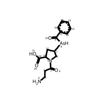 NCCC(=O)N1CC([AsH]C(=O)c2ccccc2)CC1C(=O)O